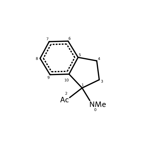 CNC1(C(C)=O)CCc2ccccc21